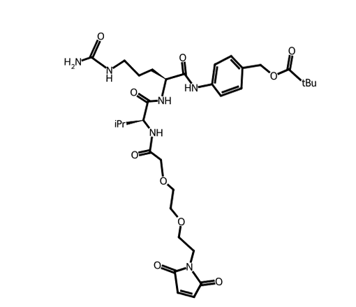 CC(C)[C@H](NC(=O)COCCOCCN1C(=O)C=CC1=O)C(=O)N[C@@H](CCCNC(N)=O)C(=O)Nc1ccc(COC(=O)C(C)(C)C)cc1